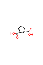 O=C(O)C1=CCCC(C(=O)O)=C1